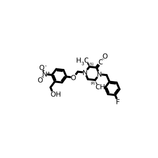 C[C@@H]1CN(COc2ccc([N+](=O)[O-])c(CO)c2)[C@@H](C)C(=C=O)N1Cc1ccc(F)cc1